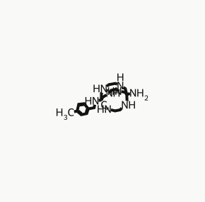 Cc1ccc(CNC23CNCCNCC(N)(CNCCNC2)CNCCNC3)cc1